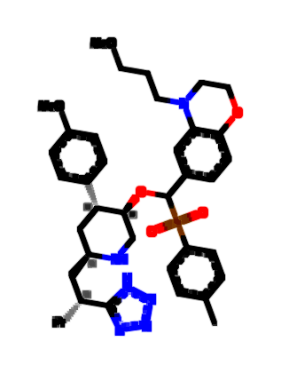 COCCCN1CCOc2ccc(C(O[C@H]3CN[C@@H](C[C@H](c4nnn[nH]4)C(C)C)C[C@@H]3c3ccc(OC)cc3)S(=O)(=O)c3ccc(C)cc3)cc21